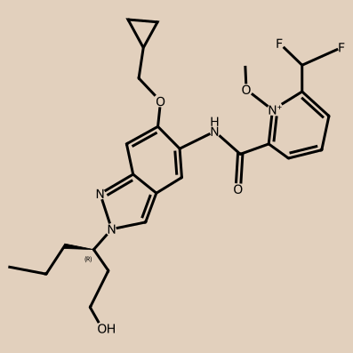 CCC[C@H](CCO)n1cc2cc(NC(=O)c3cccc(C(F)F)[n+]3OC)c(OCC3CC3)cc2n1